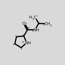 CC(C)NC(=O)C1CCCN1